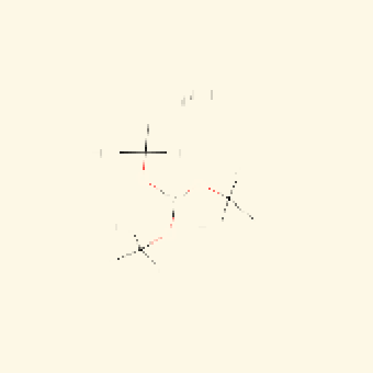 CC(C)(C)[O][Al]([O]C(C)(C)C)[O]C(C)(C)C.[HH].[LiH]